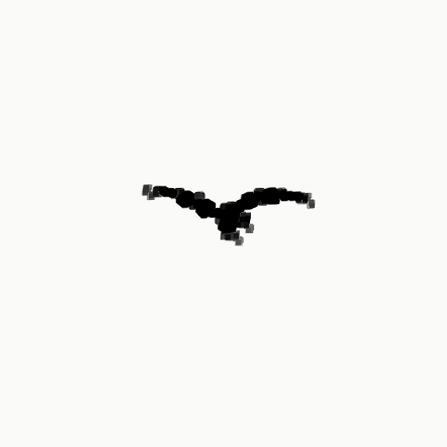 Nc1ccc(C(C(O)C(=O)/C=C/c2ccc(C(=O)Oc3ccc(OCCCCC(F)(F)F)cc3)cc2)C(O)C(=O)/C=C/c2ccc(C(=O)Oc3ccc(OCCCCC(F)(F)F)cc3)cc2)c(N)c1